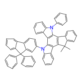 CC1(C)c2ccccc2-c2c1c1c3ccccc3n(-c3ccc4c(c3)C(c3ccccc3)(c3ccccc3)c3ccccc3-4)c1c1c3ccccc3n(-c3ccccc3)c21